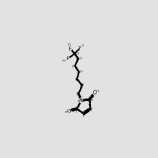 O=C1C=CC(=O)N1CCCCC[CH]C(F)(F)F